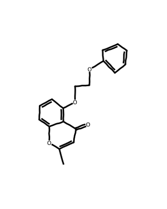 Cc1cc(=O)c2c(OCCOc3ccccc3)cccc2o1